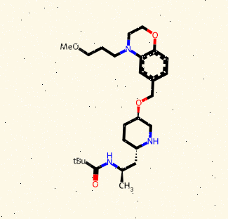 COCCCN1CCOc2ccc(CO[C@@H]3CC[C@@H](C[C@@H](C)NC(=O)C(C)(C)C)NC3)cc21